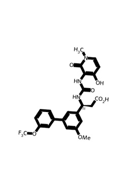 COc1cc(-c2cccc(OC(F)(F)F)c2)cc([C@H](CC(=O)O)NC(=O)Nc2c(O)ccn(C)c2=O)c1